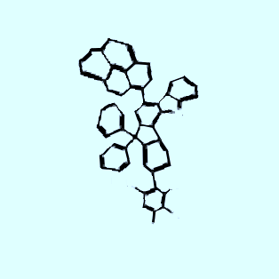 Bc1cc(B)c(-c2ccc3c(c2)C(c2ccccc2)(c2ccccc2)c2cc(-c4ccc5ccc6cccc7ccc4c5c67)c4c(oc5ccccc54)c2-3)c(B)c1B